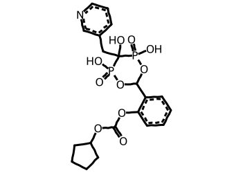 O=C(Oc1ccccc1C1OP(=O)(O)C(O)(Cc2cccnc2)P(=O)(O)O1)OC1CCCC1